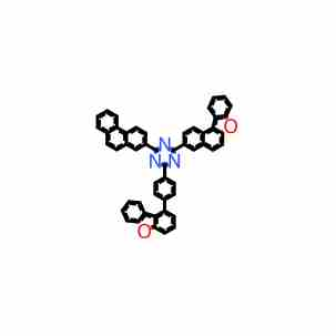 c1ccc2c(c1)ccc1cc(-c3nc(-c4ccc(-c5cccc6oc7ccccc7c56)cc4)nc(-c4ccc5c(ccc6oc7ccccc7c65)c4)n3)ccc12